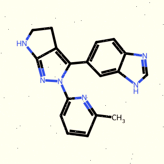 Cc1cccc(-n2nc3c(c2-c2ccc4nc[nH]c4c2)CCN3)n1